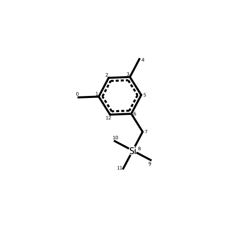 Cc1cc(C)cc(C[Si](C)(C)C)c1